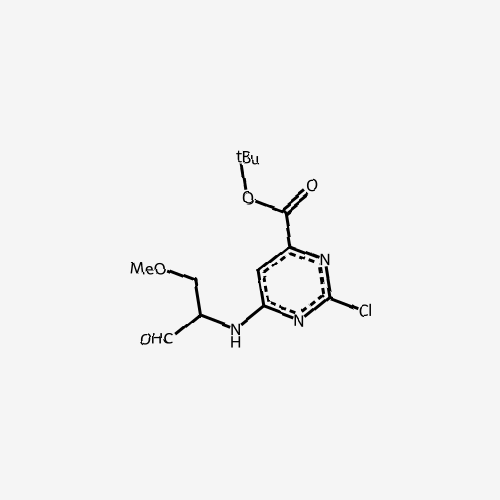 COCC(C=O)Nc1cc(C(=O)OC(C)(C)C)nc(Cl)n1